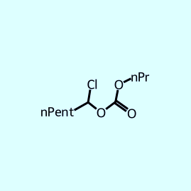 CCCCCC(Cl)OC(=O)OCCC